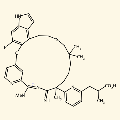 CN/C1=N\C(=N)C(C)(c2cccc(CC(C)C(=O)O)n2)CCCC(C)(C)CSCCc2c(c(F)cc3[nH]ccc23)Oc2ccnc1c2